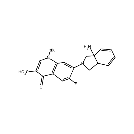 CC(C)(C)n1cc(C(=O)O)c(=O)c2cc(F)c(N3CC4C=CC=CC4(N)C3)cc21